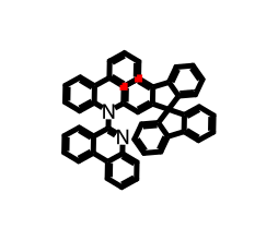 c1ccc(-c2ccccc2N(c2ccc3c(c2)C2(c4ccccc4-c4ccccc42)c2ccccc2-3)c2nc3ccccc3c3ccccc23)cc1